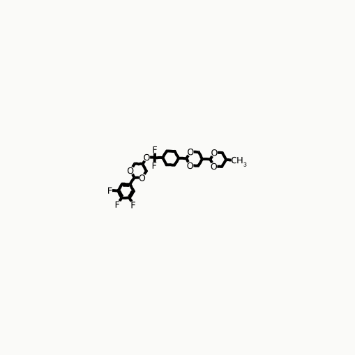 CC1COC(C2COC(C3CCC(C(F)(F)OC4COC(c5cc(F)c(F)c(F)c5)OC4)CC3)OC2)OC1